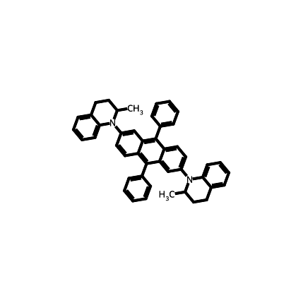 CC1CCc2ccccc2N1c1ccc2c(-c3ccccc3)c3cc(N4c5ccccc5CCC4C)ccc3c(-c3ccccc3)c2c1